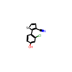 N#Cc1cc[se]c1-c1ccc(O)cc1Cl